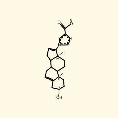 COC(=O)c1cn(C2=CCC3C4CC=C5C[C@@H](O)CC[C@]5(C)C4CC[C@]23C)cn1